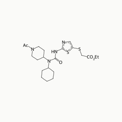 CCOC(=O)CSc1cnc(NC(=O)N(C2CCCCC2)C2CCN(C(C)=O)CC2)s1